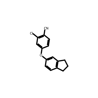 N#Cc1ccc(Oc2ccc3c(c2)CCC3)cc1Cl